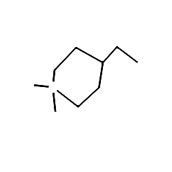 CCC1CCS(C)(C)CC1